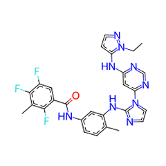 CCn1nccc1Nc1cc(-n2ccnc2Nc2cc(NC(=O)c3cc(F)c(F)c(C)c3F)ccc2C)ncn1